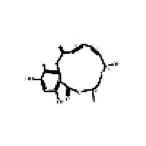 C[C@@H]1CC[C@H](O)/C=C\C=C\C(=O)Cc2c(Cl)c(O)cc(O)c2C(=O)O1